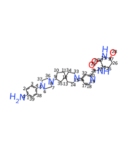 Nc1ccc(N2CCN(C3CCC4(CCN(c5ccnc(C(=O)NC6CCC(=O)NC6=O)c5)CC4)C3)CC2)cc1